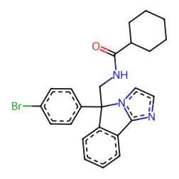 O=C(NCC1(c2ccc(Br)cc2)c2ccccc2-c2nccn21)C1CCCCC1